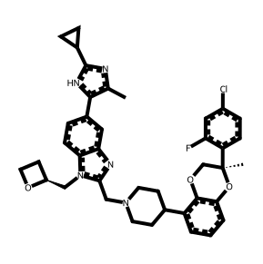 Cc1nc(C2CC2)[nH]c1-c1ccc2c(c1)nc(CN1CCC(c3cccc4c3OC[C@@](C)(c3ccc(Cl)cc3F)O4)CC1)n2C[C@@H]1CCO1